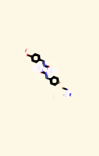 COC(=O)c1ccc(/C=c2\[nH]c(=O)/c(=C/c3ccc(SCCN(C)C)cc3)[nH]c2=O)cc1